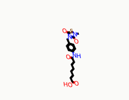 Cn1sc(=O)n(Cc2ccc(NC(=O)CCCCCCC(=O)O)cc2)c1=O